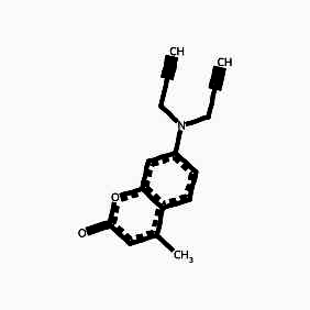 C#CCN(CC#C)c1ccc2c(C)cc(=O)oc2c1